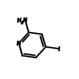 Nc1cc(I)ccn1